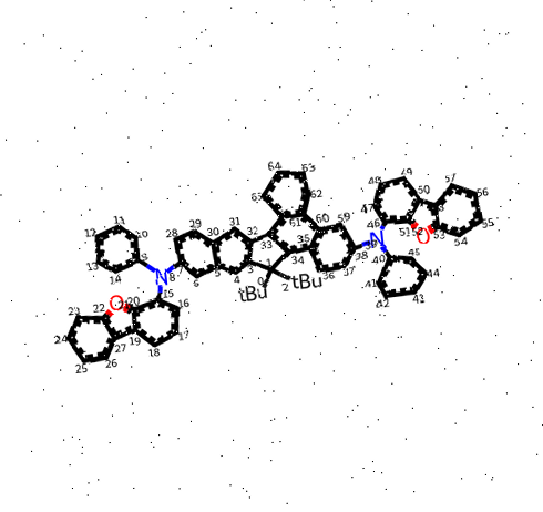 CC(C)(C)C1(C(C)(C)C)c2cc3cc(N(c4ccccc4)c4cccc5c4oc4ccccc45)ccc3cc2-c2c1c1ccc(N(c3ccccc3)c3cccc4c3oc3ccccc34)cc1c1ccccc21